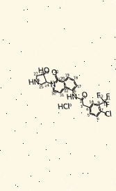 Cl.O=C(Cc1ccc(Cl)c(C(F)(F)F)c1)Nc1cccc2c(=O)n(C3CNCC3O)ccc12